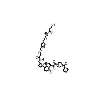 COc1ccc(-c2ccc(CNC(=O)COCCn3cc(COCCNC(=O)CCS)nn3)o2)c2[nH]cc(C(=O)C(=O)N3CCN(C(=O)c4ccccc4)CC3)c12